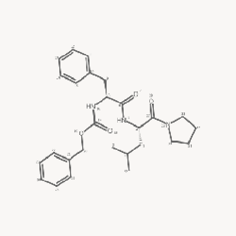 CC(C)C[C@H](NC(=O)[C@H](Cc1ccccc1)NC(=O)OCc1ccccc1)C(=O)N1CCCC1